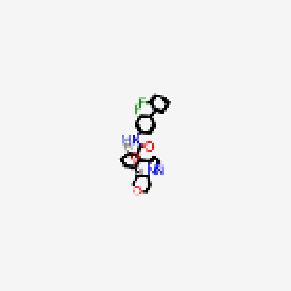 O=C(Nc1ccc(-c2ccccc2F)c(F)c1)C1=C(c2ccnn2C2CCOCC2)[C@@H]2CC[C@@H]1O2